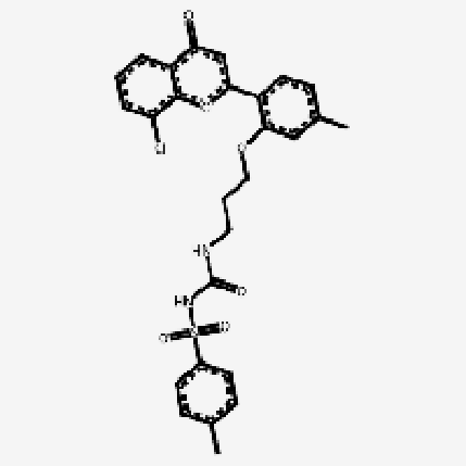 Cc1ccc(S(=O)(=O)NC(=O)NCCCOc2cc(C)ccc2-c2cc(=O)c3cccc(Cl)c3o2)cc1